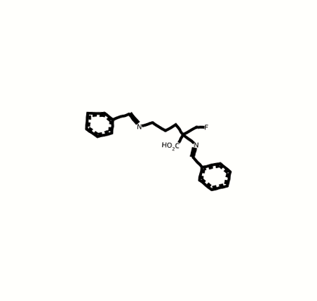 O=C(O)C(CF)(CCCN=Cc1ccccc1)N=Cc1ccccc1